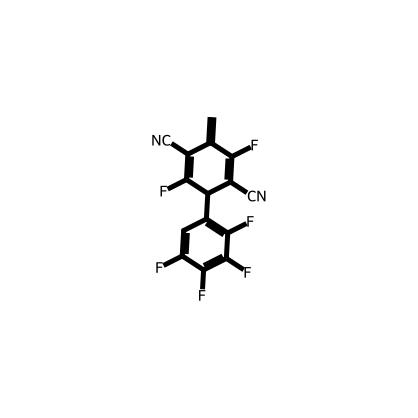 C=C1C(F)=C(C#N)C(c2cc(F)c(F)c(F)c2F)C(F)=C1C#N